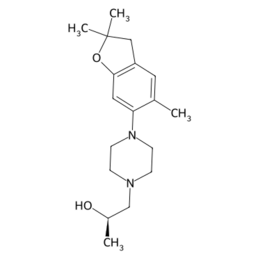 Cc1cc2c(cc1N1CCN(C[C@@H](C)O)CC1)OC(C)(C)C2